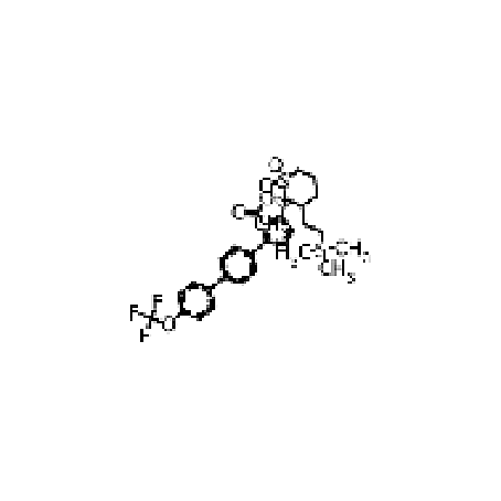 CC(=O)O[C@@]1(c2ccc(-c3ccc(-c4ccc(OC(F)(F)F)cc4)cc3)s2)C(CC[Si](C)(C)C)CCCS1(=O)=O